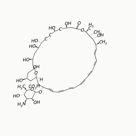 C[C@@H]1[C@H](O)[C@@H](C)/C=C/C=C/C=C/C=C/C=C/C=C/C=C/[C@H](OC2O[C@H](C)[C@@H](O)[C@H](N)[C@@H]2O)C[C@@H]2O[C@](O)(C[C@@H](O)C[C@@H](O)[C@H](O)CC[C@@H](O)C[C@@H](O)CC(=O)O[C@H]1C)C[C@H](O)[C@H]2C(=O)O